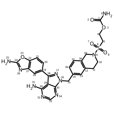 NC(=O)OCCS(=O)(=O)N1CCc2cc(Cn3nc(-c4ccc5oc(N)nc5c4)c4c(N)ncnc43)ccc2C1